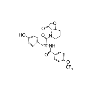 O=C(N[C@@H](Cc1ccc(O)cc1)C(=O)N1CCCC2OCC(=O)C21)c1ccc(OC(F)(F)F)cc1